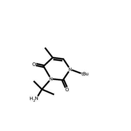 Cc1cn(C(C)(C)C)c(=O)n(C(C)(C)N)c1=O